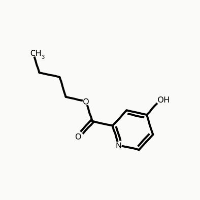 CCCCOC(=O)c1cc(O)ccn1